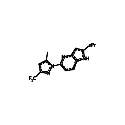 CCCc1cc2nc(-n3nc(C(F)(F)F)cc3C)ccc2[nH]1